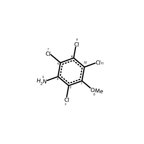 COc1c(Cl)c(N)c(Cl)c(Cl)c1Cl